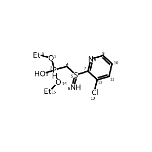 CCO[PH](O)(CS(=N)c1ncccc1Cl)OCC